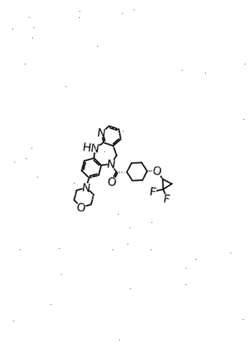 O=C([C@H]1CC[C@@H](O[C@H]2CC2(F)F)CC1)N1Cc2cccnc2Nc2ccc(N3CCOCC3)cc21